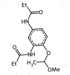 CCC(=O)Nc1ccc(OC(C)OC)c(NC(=O)CC)c1